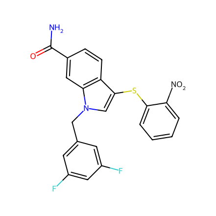 NC(=O)c1ccc2c(Sc3ccccc3[N+](=O)[O-])cn(Cc3cc(F)cc(F)c3)c2c1